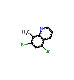 Cc1c(Br)cc(Br)c2cccnc12